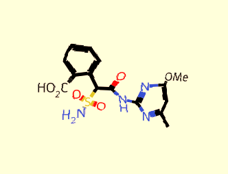 COc1cc(C)nc(NC(=O)C(c2ccccc2C(=O)O)S(N)(=O)=O)n1